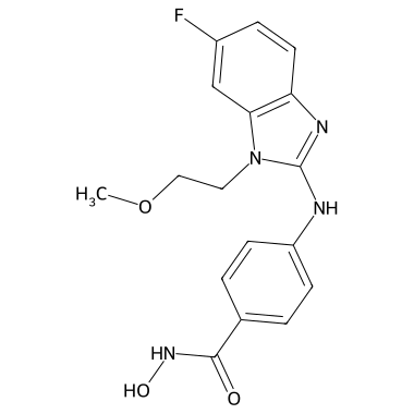 COCCn1c(Nc2ccc(C(=O)NO)cc2)nc2ccc(F)cc21